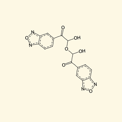 O=C(c1ccc2nonc2c1)C(O)OC(O)C(=O)c1ccc2nonc2c1